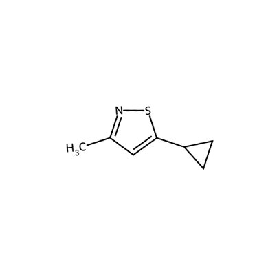 Cc1cc(C2CC2)sn1